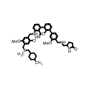 COc1cc(-c2cccc(-c3cccc(NCc4cc(OC)c(CN(C)CC5CCC(C)CC5)cc4Cl)c3C=N)c2Cl)ccc1CNCC1CCC(=O)N1